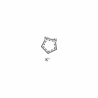 [K+].c1cn[n-]c1